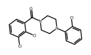 O=C(c1cccc(Cl)c1Cl)N1CCN(c2ccccc2Cl)CC1